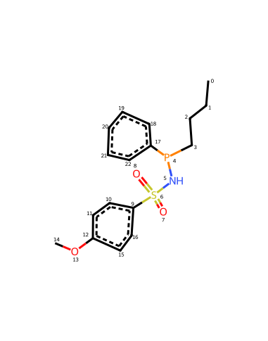 CCCCP(NS(=O)(=O)c1ccc(OC)cc1)c1ccccc1